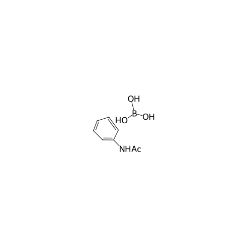 CC(=O)Nc1ccccc1.OB(O)O